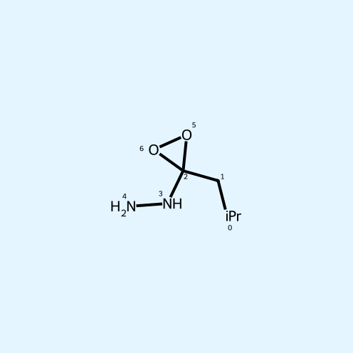 CC(C)CC1(NN)OO1